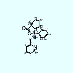 O=C1OC(NCc2ccccn2)(c2ccccc2)c2ccccc21